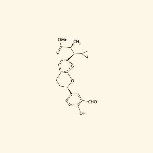 COC(=O)[C@@H](C)[C@H](c1ccc2c(c1)O[C@@H](c1ccc(O)c(C=O)c1)CC2)C1CC1